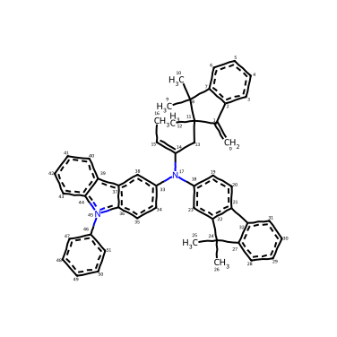 C=C1c2ccccc2C(C)(C)C1(C)C/C(=C\C)N(c1ccc2c(c1)C(C)(C)c1ccccc1-2)c1ccc2c(c1)c1ccccc1n2-c1ccccc1